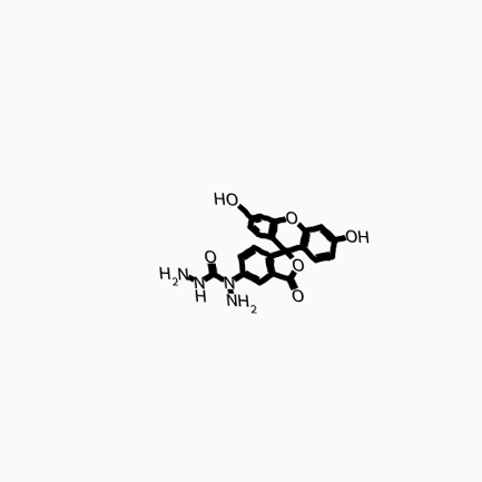 NNC(=O)N(N)c1ccc2c(c1)C(=O)OC21c2ccc(O)cc2Oc2cc(O)ccc21